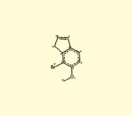 COc1ccc2c(c1Br)CC=C2